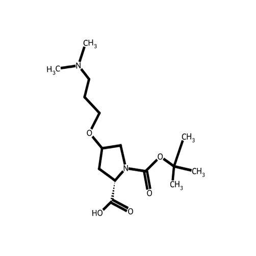 CN(C)CCCOC1C[C@@H](C(=O)O)N(C(=O)OC(C)(C)C)C1